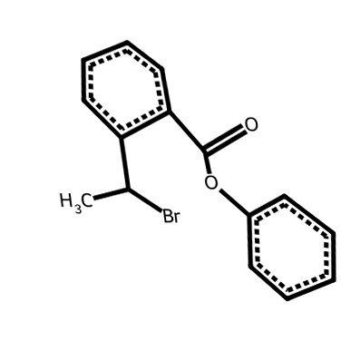 CC(Br)c1ccccc1C(=O)Oc1ccccc1